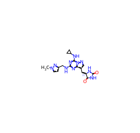 Cn1ccc(CNc2nc(NC3CC3)n3ncc(/C=C4\NC(=O)NC4=O)c3n2)n1